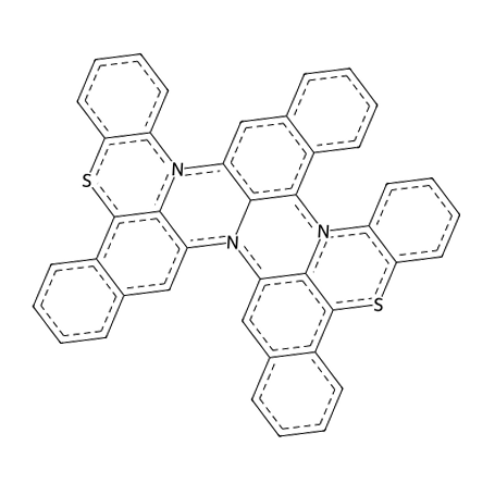 c1ccc2c(c1)cc1c3c2sc2ccccc2n3c2cc3ccccc3c3c2-n1c1cc2ccccc2c2sc4ccccc4n3c21